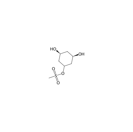 CS(=O)(=O)OC1C[C@@H](O)C[C@@H](O)C1